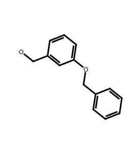 [O]Cc1cccc(OCc2ccccc2)c1